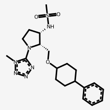 Cn1nnnc1N1CC[C@H](NS(C)(=O)=O)[C@@H]1COC1CCC(c2ccccc2)CC1